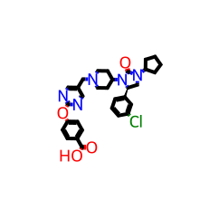 O=C(O)c1ccc(Oc2ncc(CN3CCC(N4C(=O)N(C5CCCC5)C[C@H]4c4cccc(Cl)c4)CC3)cn2)cc1